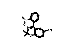 C[S+]([O-])c1ccccc1C1=NC(C)(C)Oc2ccc(C#N)cc21